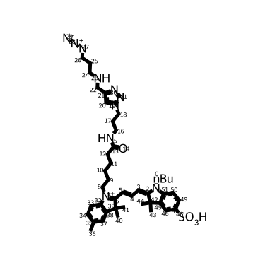 CCCCN1/C(=C/C=C/C2=[N+](CCCCCC(=O)NCCCn3cc(CNCCCN=[N+]=[N-])nn3)c3ccc(C)cc3C2(C)C)C(C)(C)c2cc(S(=O)(=O)O)ccc21